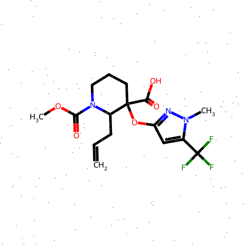 C=CCC1N(C(=O)OC)CCCC1(Oc1cc(C(F)(F)F)n(C)n1)C(=O)O